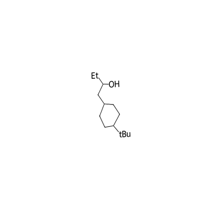 CCC(O)CC1CCC(C(C)(C)C)CC1